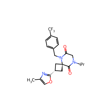 Cc1coc([C@H]2C[C@]3(C2)C(=O)N(C(C)C)CC(=O)N3Cc2ccc(C(F)(F)F)cc2)n1